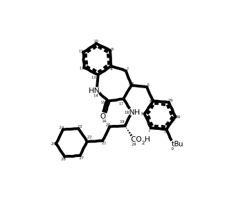 CC(C)(C)c1ccc(CC2Cc3ccccc3NC(=O)C2N[C@@H](CCC2CCCCC2)C(=O)O)cc1